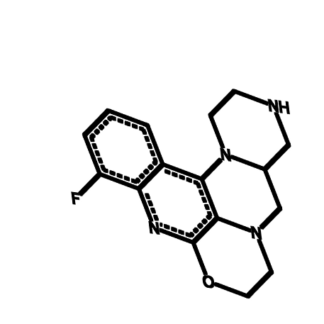 Fc1cccc2c3c4c(nc12)OCCN4CC1CNCCN31